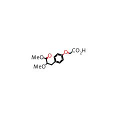 COC(=O)C(Cc1ccc(OCC(=O)O)cc1)OC